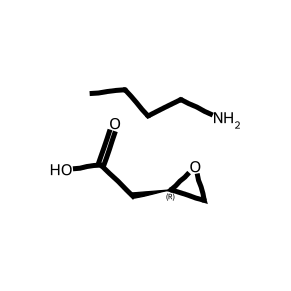 CCCCN.O=C(O)C[C@@H]1CO1